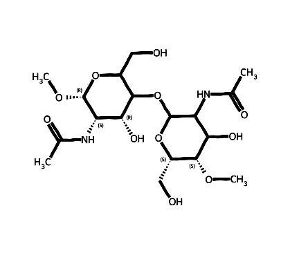 CO[C@@H]1OC(CO)C(OC2O[C@@H](CO)[C@@H](OC)C(O)C2NC(C)=O)[C@H](O)[C@@H]1NC(C)=O